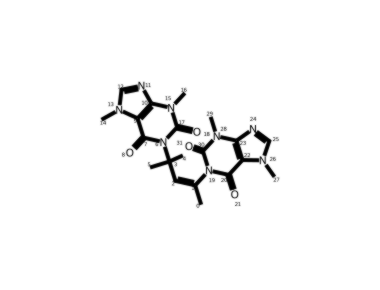 C/C(=C/C(C)(C)n1c(=O)c2c(ncn2C)n(C)c1=O)n1c(=O)c2c(ncn2C)n(C)c1=O